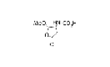 CO[C@H]1OC(=O)C[C@@H]1NC(=O)O